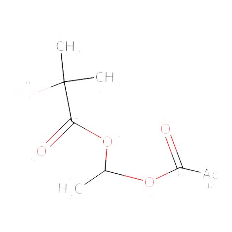 BC(C)(C)C(=O)OC(C)OC(=O)C(C)=O